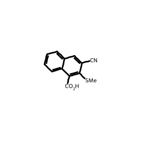 CSc1c(C#N)cc2ccccc2c1C(=O)O